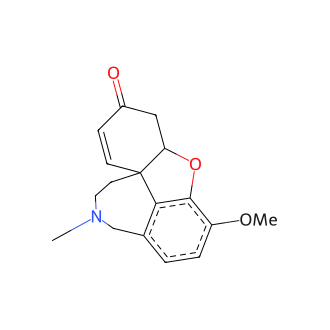 COc1ccc2c3c1OC1CC(=O)C=CC31CCN(C)C2